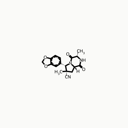 C[C@@H]1NC(=O)[C@@H]2C[C@](C)(C#N)[C@H](c3ccc4c(c3)OCO4)N2C1=O